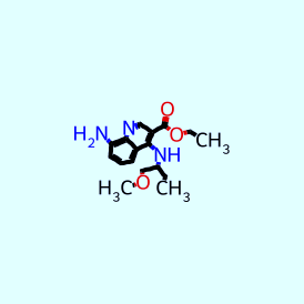 CCOC(=O)c1cnc2c(N)cccc2c1NC(CC)COC